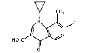 Cc1c(F)ccc2c(=O)c(C(=O)O)cn(C3CC3)c12